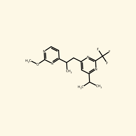 COc1nccc(C(C)Cc2cc(C(C)C)nc(C(F)(F)F)n2)n1